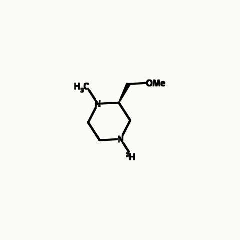 [2H]N1CCN(C)[C@@H](COC)C1